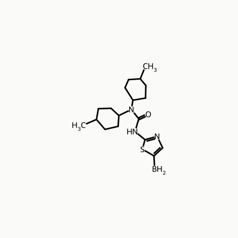 Bc1cnc(NC(=O)N(C2CCC(C)CC2)C2CCC(C)CC2)s1